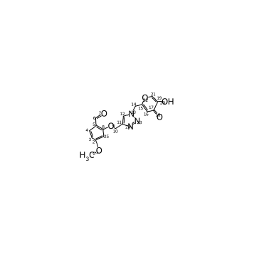 COc1ccc(C=O)c(OCc2cn(Cc3cc(=O)c(O)co3)nn2)c1